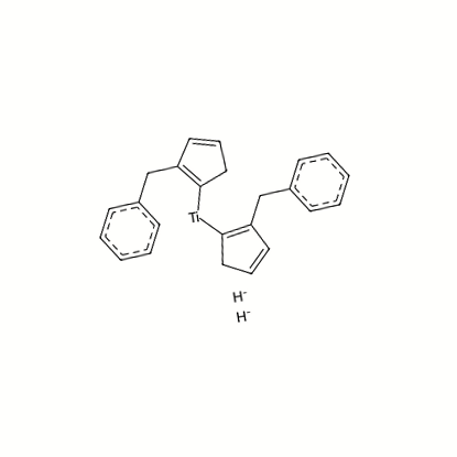 C1=CC(Cc2ccccc2)=[C]([Ti][C]2=C(Cc3ccccc3)C=CC2)C1.[H-].[H-]